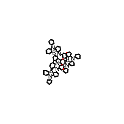 c1ccc(N2c3ccccc3B3c4cc5c6c7c(cc8c9ccc%10c(c9n(c5cc4N(c4ccccc4)c4cccc2c43)c86)N(c2ccccc2)c2cccc3c2B%10c2ccccc2N3c2ccccc2)B2c3ccccc3N(c3ccccc3)c3cccc(c32)N7c2ccccc2)cc1